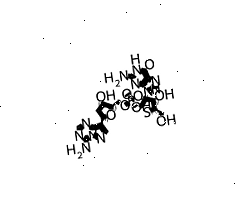 Nc1nc2c(nnn2[C@@]2(OP(=O)(O)OC[C@H]3O[C@@H](c4cnn5c(N)ncnc45)C[C@@H]3O)CS[C@H](CO)[C@H]2O)c(=O)[nH]1